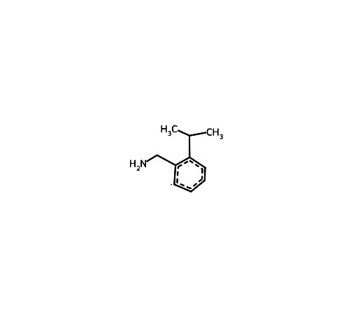 CC(C)c1ccc[c]c1CN